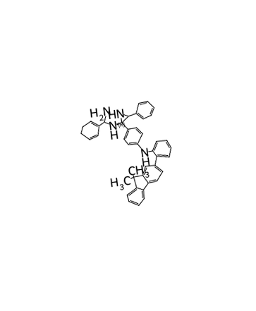 CC1(C)c2ccccc2-c2ccc(-c3ccccc3Nc3ccc([C@]4(NC(N)C5=CCCC=C5)NC4c4ccccc4)cc3)cc21